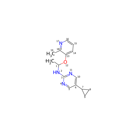 [CH2]C(Nc1ncc(C2CC2)cn1)Oc1cccnc1C